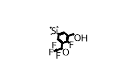 C[Si](C)(C)c1cc(CO)c(F)c(C(=O)C(F)(F)F)c1